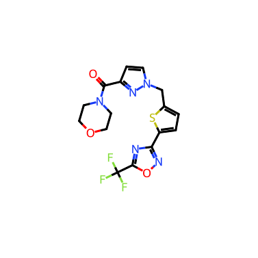 O=C(c1ccn(Cc2ccc(-c3noc(C(F)(F)F)n3)s2)n1)N1CCOCC1